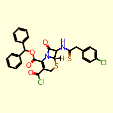 O=C(Cl)C1=C(C(=O)OC(c2ccccc2)c2ccccc2)N2C(=O)C(NC(=S)Cc3ccc(Cl)cc3)[C@@H]2SC1